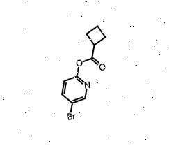 O=C(Oc1ccc(Br)cn1)C1CCC1